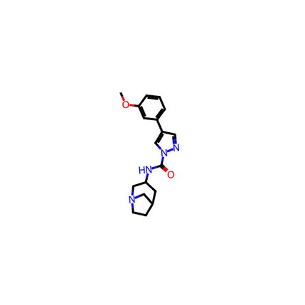 COc1cccc(-c2cnn(C(=O)NC3CC4CCN(C4)C3)c2)c1